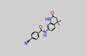 CC1(C)CC(=O)Nc2cc(NC(=O)c3ccc(C#N)cc3)ccc21